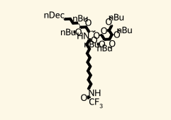 CCCCCCCCCCCCCC[C@@H](OCCCC)[C@@H](OCCCC)[C@H](CO[C@H]1OC(COCCCC)[C@H](OCCCC)[C@H](OCCCC)C1OCCCC)NC(=O)CCCCCCCCCCCNC(=O)C(F)(F)F